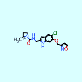 C[C@H]1CCN1C(=O)NCc1cc2cc(Cl)c(OCc3ccon3)cc2[nH]1